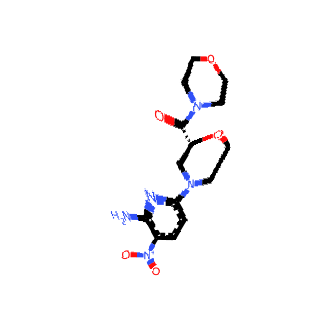 Nc1nc(N2CCO[C@@H](C(=O)N3CCOCC3)C2)ccc1[N+](=O)[O-]